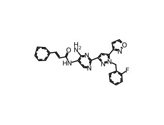 Nc1nc(-c2cc(-c3ccon3)n(Cc3ccccc3F)n2)ncc1NC(=O)/C=C/c1ccccc1